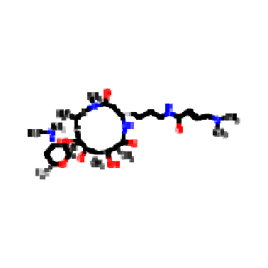 C[C@H]1CN(C)C(=O)C[C@H](CCCCNC(=O)/C=C/CN(C)C)NC(=O)[C@H](C)[C@@H](O)[C@H](C)[C@@H](O[C@H]2C[C@@H](N(C)C)C[C@@H](C)O2)[C@](C)(O)C1